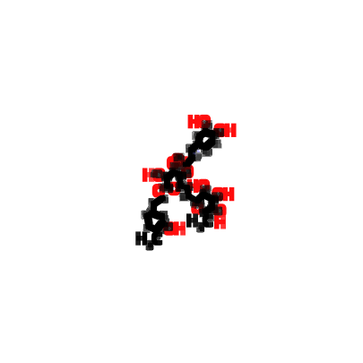 Cc1ccc(CCO[C@@H]2O[C@H](CC[C@@H]3O[C@@H](C)[C@H](O)[C@@H](O)[C@H]3O)[C@@H](OC(=O)/C=C/c3ccc(O)c(O)c3)[C@H](O)[C@H]2O)cc1O